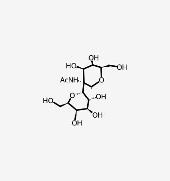 CC(=O)N[C@@]1([C@H]2O[C@H](CO)[C@H](O)[C@H](O)[C@H]2O)[CH]O[C@H](CO)[C@H](O)[C@@H]1O